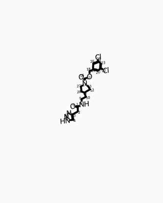 O=C(Cc1c[nH]nn1)NCCC1CCN(C(=O)OCc2cc(Cl)cc(Cl)c2)CC1